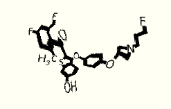 Cc1cc(F)cc(CF)c1C(=O)c1sc2cc(O)ccc2c1Oc1ccc(OC2CN(CCCF)C2)cc1